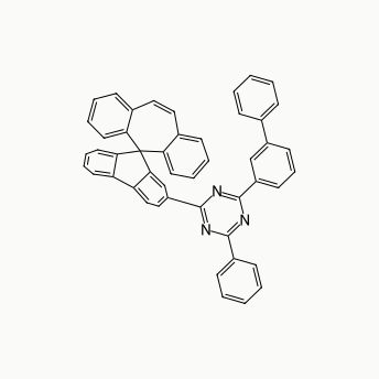 C1=Cc2ccccc2C2(c3ccccc31)c1ccccc1-c1ccc(-c3nc(-c4ccccc4)nc(-c4cccc(-c5ccccc5)c4)n3)cc12